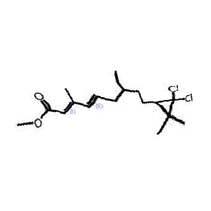 COC(=O)/C=C(C)/C=C/CC(C)CCC1C(C)(C)C1(Cl)Cl